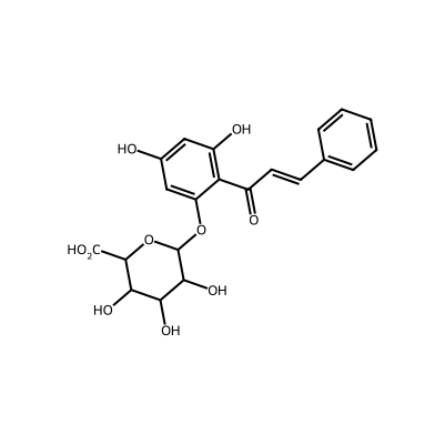 O=C(C=Cc1ccccc1)c1c(O)cc(O)cc1OC1OC(C(=O)O)C(O)C(O)C1O